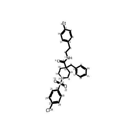 CCc1ccc(CCNC(=O)C2(Cc3ccccc3)CCN(S(=O)(=O)c3ccc(Cl)cc3)CC2)cc1